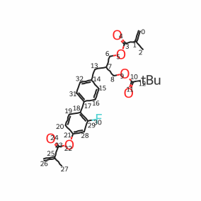 C=C(C)C(=O)OCC(COC(=O)C(C)(C)C)Cc1ccc(-c2ccc(OC(=O)C(=C)C)cc2F)cc1